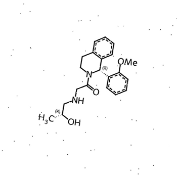 COc1ccccc1[C@H]1c2ccccc2CCN1C(=O)CNC[C@@H](C)O